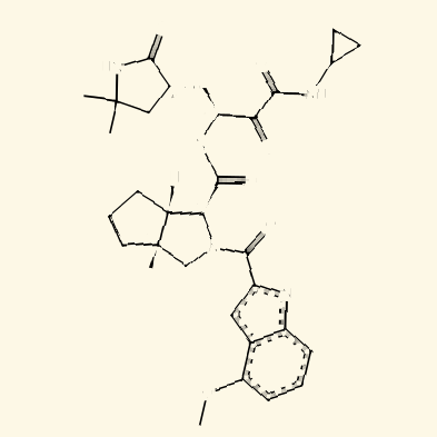 COc1cccc2[nH]c(C(=O)N3C[C@@H]4CCC[C@@H]4[C@H]3C(=O)N[C@@H](C[C@@H]3CC(C)(C)NC3=O)C(=O)C(=O)NC3CC3)cc12